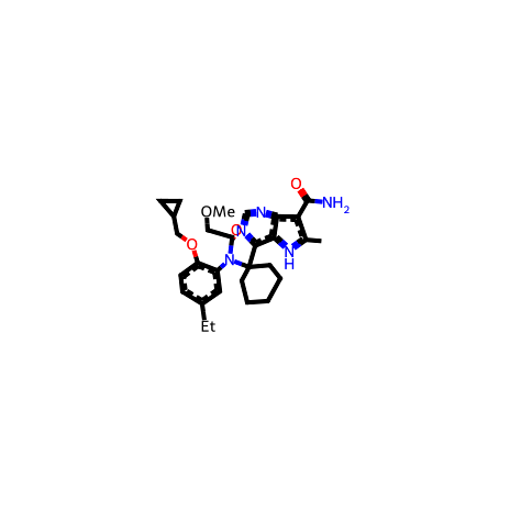 CCc1ccc(OCC2CC2)c(N(C(=O)COC)C2(c3ncnc4c(C(N)=O)c(C)[nH]c34)CCCCC2)c1